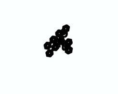 c1ccc(-c2ccc(-c3nc(-c4cccc5c4oc4ccccc45)cc(-c4cccc5c4oc4ccccc45)n3)c(-c3ccccc3-c3ccccc3)c2)cc1